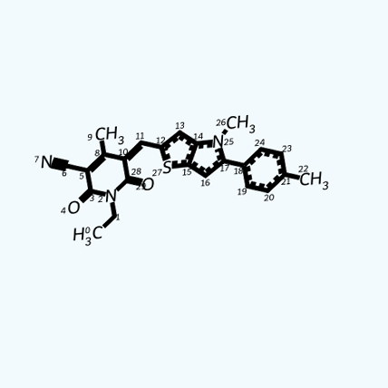 CCN1C(=O)C(C#N)=C(C)/C(=C/c2cc3c(cc(-c4ccc(C)cc4)n3C)s2)C1=O